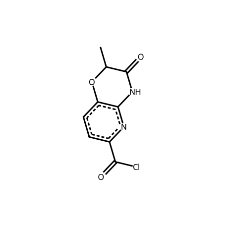 CC1Oc2ccc(C(=O)Cl)nc2NC1=O